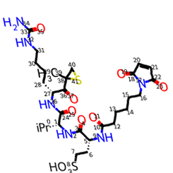 CC(C)[C@@H](NC(=O)[C@@H](CCS(=O)(=O)O)NC(=O)CCCCCN1C(=O)C=CC1=O)C(=O)N[C@H](CCCCNC(N)=O)C(=O)C1(C)CS1